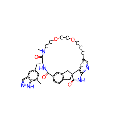 Cc1cc(C[C@H]2NC(=O)c3ccc4c(c3)C[C@@]3(C4)C(=O)Nc4ncc(cc43)CCCOCCOCCN(C)C2=O)cc2cn[nH]c12